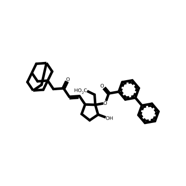 O=C(O)CC1(OC(=O)c2cccc(-c3ccccc3)c2)C(O)CCC1C=CC(=O)CC12CC3CC(CC(C3)C1)C2